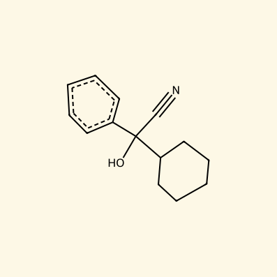 N#CC(O)(c1ccccc1)C1CCCCC1